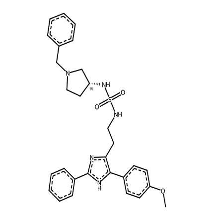 COc1ccc(-c2[nH]c(-c3ccccc3)nc2CCNS(=O)(=O)N[C@@H]2CCN(Cc3ccccc3)C2)cc1